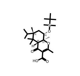 CC1=C(C(=O)O)C(=O)[C@@H]2C(C)(C)[C@](C)(C(C)C)C[C@H](O[Si](C)(C)C(C)(C)C)[C@@]2(C)O1